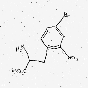 CCOC(=O)C(N)Cc1ccc(Br)cc1[N+](=O)[O-]